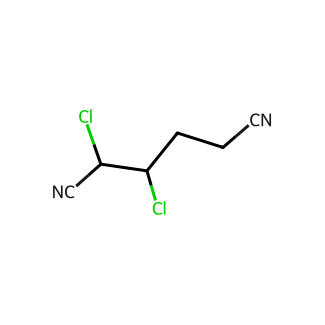 N#CCCC(Cl)C(Cl)C#N